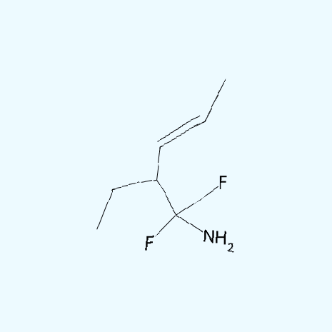 CC=CC(CC)C(N)(F)F